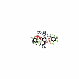 CCOC(=O)/C(C#N)=C/c1cc(OS(=O)(=O)c2c(F)c(F)c(F)c(F)c2F)c(CC(C#N)C(=O)OCC)cc1OS(=O)(=O)c1c(F)c(F)c(F)c(F)c1F